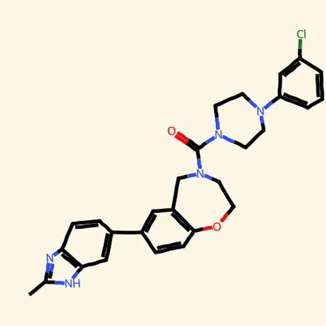 Cc1nc2ccc(-c3ccc4c(c3)CN(C(=O)N3CCN(c5cccc(Cl)c5)CC3)CCO4)cc2[nH]1